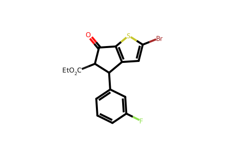 CCOC(=O)C1C(=O)c2sc(Br)cc2C1c1cccc(F)c1